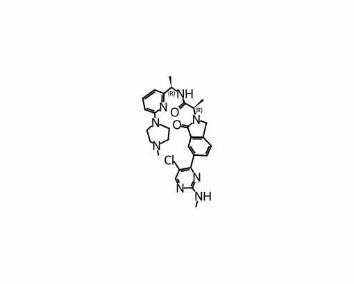 CNc1ncc(Cl)c(-c2ccc3c(c2)C(=O)N([C@H](C)C(=O)N[C@H](C)c2cccc(N4CCN(C)CC4)n2)C3)n1